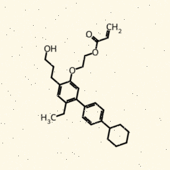 C=CC(=O)OCCOc1cc(-c2ccc(C3CCCCC3)cc2)c(CC)cc1CCCO